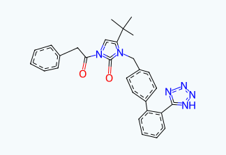 CC(C)(C)c1cn(C(=O)Cc2ccccc2)c(=O)n1Cc1ccc(-c2ccccc2-c2nnn[nH]2)cc1